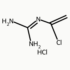 C=C(Cl)N=C(N)N.Cl